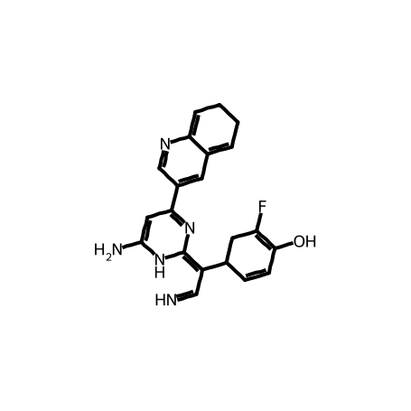 N=C/C(=C1/N=C(c2cnc3c(c2)=CCCC=3)C=C(N)N1)C1C=CC(O)=C(F)C1